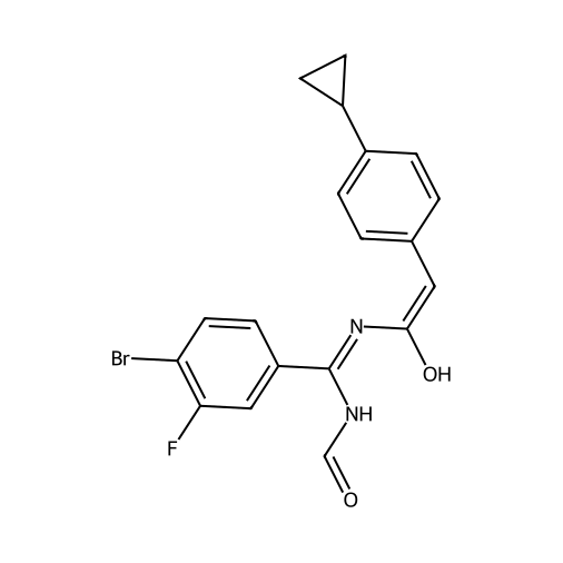 O=CN/C(=N\C(O)=C/c1ccc(C2CC2)cc1)c1ccc(Br)c(F)c1